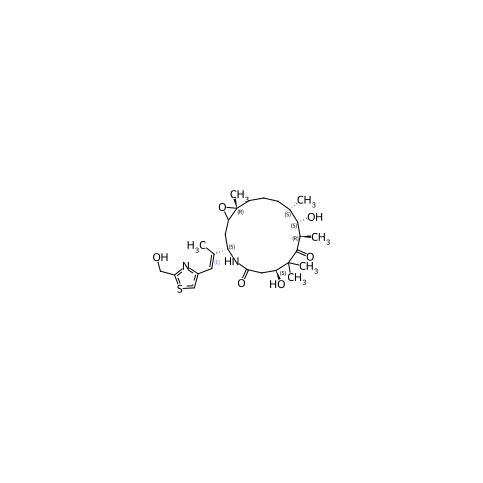 C/C(=C\c1csc(CO)n1)[C@@H]1CC2O[C@]2(C)CCC[C@H](C)[C@H](O)[C@@H](C)C(=O)C(C)(C)[C@@H](O)CC(=O)N1